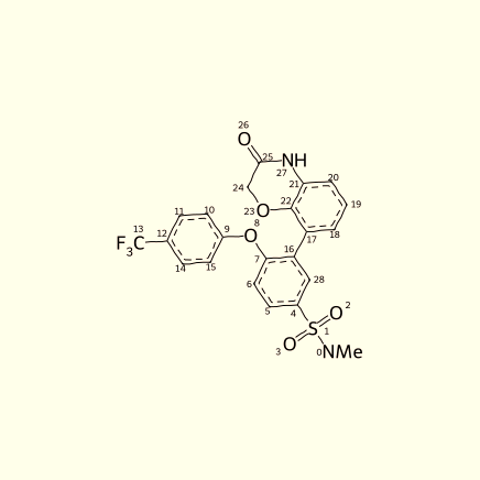 CNS(=O)(=O)c1ccc(Oc2ccc(C(F)(F)F)cc2)c(-c2cccc3c2OCC(=O)N3)c1